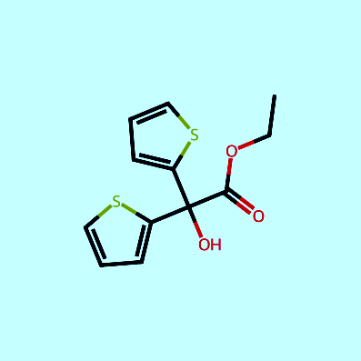 CCOC(=O)C(O)(c1cccs1)c1cccs1